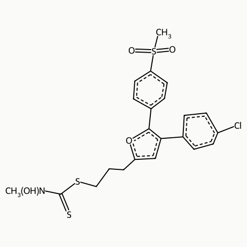 CN(O)C(=S)SCCCc1cc(-c2ccc(Cl)cc2)c(-c2ccc(S(C)(=O)=O)cc2)o1